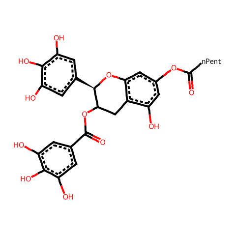 CCCCCC(=O)Oc1cc(O)c2c(c1)O[C@H](c1cc(O)c(O)c(O)c1)C(OC(=O)c1cc(O)c(O)c(O)c1)C2